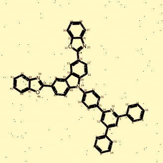 c1ccc(-c2cc(-c3ccccc3)nc(-c3ccc(-n4c5ccc(-c6nc7ccccc7o6)cc5c5cc(-c6nc7ccccc7o6)ccc54)cc3)c2)cc1